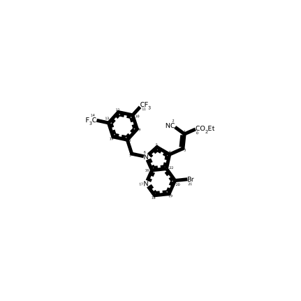 CCOC(=O)/C(C#N)=C/c1cn(Cc2cc(C(F)(F)F)cc(C(F)(F)F)c2)c2nccc(Br)c12